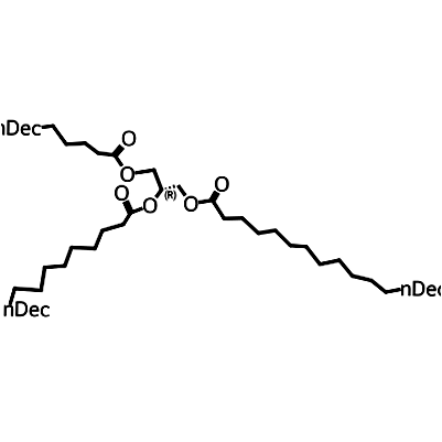 CCCCCCCCCCCCCCCCCCCCCC(=O)OC[C@@H](COC(=O)CCCCCCCCCCCCCC)OC(=O)CCCCCCCCCCCCCCCCCC